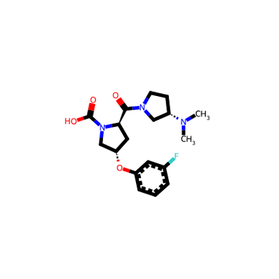 CN(C)[C@H]1CCN(C(=O)[C@H]2C[C@H](Oc3cccc(F)c3)CN2C(=O)O)C1